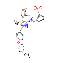 CC1CCC(Oc2ccc(-c3csc(N(Cc4cccc(C(=O)[O-])c4)Cc4cccs4)n3)cc2)CC1.[Na+]